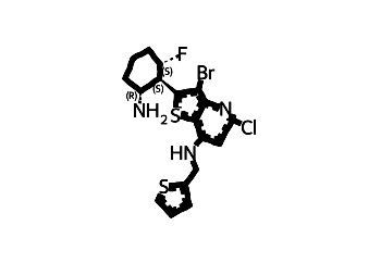 N[C@@H]1CCC[C@H](F)[C@H]1c1sc2c(NCc3cccs3)cc(Cl)nc2c1Br